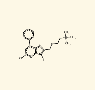 C[Si](C)(C)CCOCn1nc2c(-c3ccccc3)cc(Cl)nc2c1I